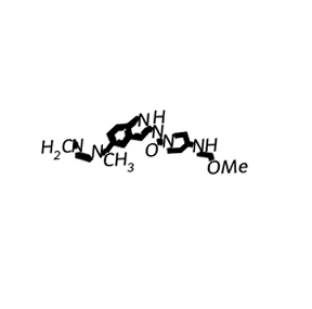 C=N/C=C\N=C(/C)c1ccc2cnc(NC(=O)N3CCC(NCCOC)CC3)cc2c1